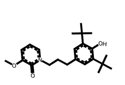 COc1cccn(CCCc2cc(C(C)(C)C)c(O)c(C(C)(C)C)c2)c1=O